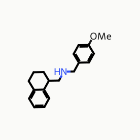 COc1ccc(CNCC2CCCc3ccccc32)cc1